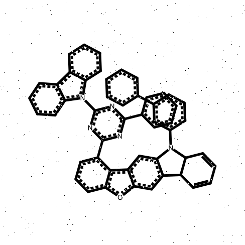 C1=CC2c3cc4oc5cccc(-c6nc(-c7ccccc7)nc(-n7c8ccccc8c8ccccc87)n6)c5c4cc3N(c3cccc(-c4ccccc4)c3)C2C=C1